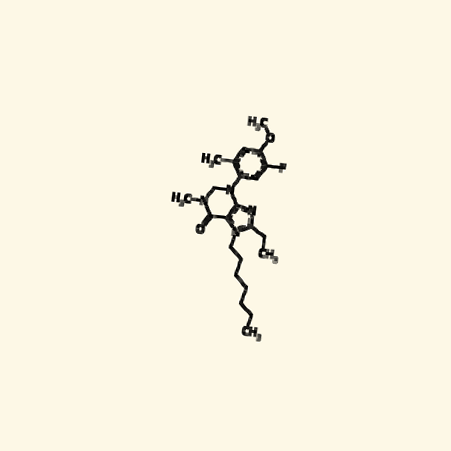 CCCCCCCn1c(CC)nc2c1C(=O)N(C)CN2c1cc(F)c(OC)cc1C